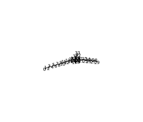 CCCCCCCCCCCCCCCC[n+]1ccn(CCCCCCCCCC)c1CCC